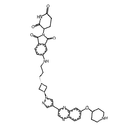 O=C1CCC(N2C(=O)c3ccc(NCCC[C@H]4C[C@H](n5cc(-c6cnc7ccc(OC8CCNCC8)cc7n6)cn5)C4)cc3C2=O)C(=O)N1